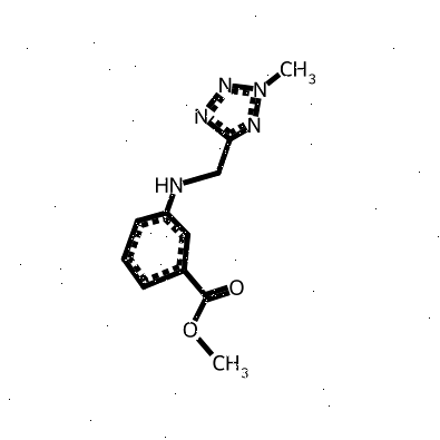 COC(=O)c1cccc(NCc2nnn(C)n2)c1